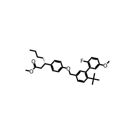 CCCC[C@@H](CC(=O)OC)c1ccc(OCc2ccc(C(C)(C)C)c(-c3cc(OC)ccc3F)c2)cc1